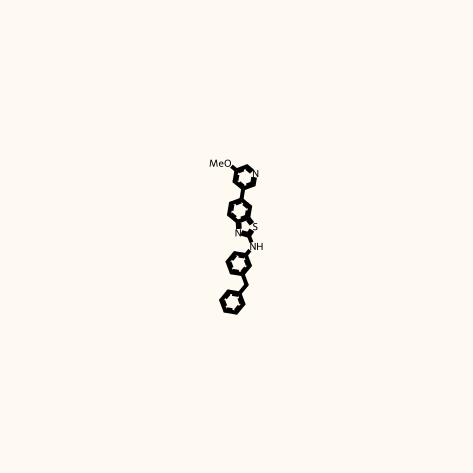 COc1cncc(-c2ccc3nc(Nc4cccc(Cc5ccccc5)c4)sc3c2)c1